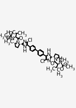 COC(=O)N[C@H](C(=O)N1[C@@H](C)CC[C@H]1c1nc(Cl)c(-c2ccc(-c3ccc(-c4[nH]c([C@@H]5CC[C@H](C)N5C(=O)[C@@H](NC(=O)OC)C(C)C)nc4Cl)cc3)cc2)[nH]1)C(C)C